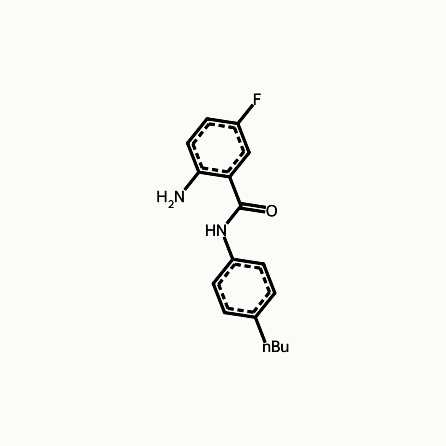 CCCCc1ccc(NC(=O)c2cc(F)ccc2N)cc1